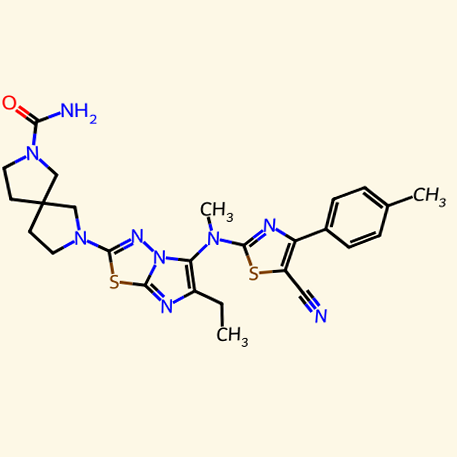 CCc1nc2sc(N3CCC4(CCN(C(N)=O)C4)C3)nn2c1N(C)c1nc(-c2ccc(C)cc2)c(C#N)s1